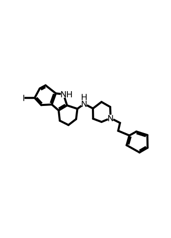 Ic1ccc2[nH]c3c(c2c1)CCCC3NC1CCN(CCc2ccccc2)CC1